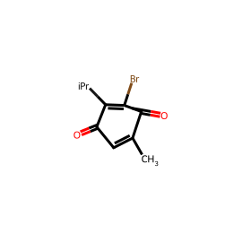 CC1=CC(=O)C(C(C)C)=C(Br)C1=O